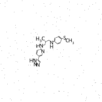 CSc1ccc(NCC(C)CNc2ccc(-c3cnn[nH]3)cn2)cc1